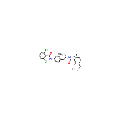 CC1=C(C(=O)N[C@@H](Cc2ccc(NC(=O)c3c(Cl)cccc3Cl)cc2)C(=O)O)C(C)(C)CCC1=CC(=O)O